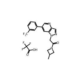 CC1CN(C(=O)Cn2ncc3ncc(-c4cccc(C(F)(F)F)c4)cc32)C1.O=C(O)C(F)(F)F